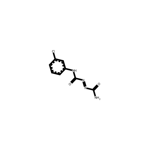 NC(=O)/N=N/C(=O)Nc1cccc(Cl)c1